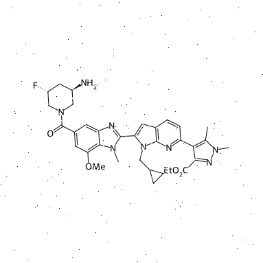 CCOC(=O)c1nn(C)c(C)c1-c1ccc2cc(-c3nc4cc(C(=O)N5C[C@H](N)C[C@@H](F)C5)cc(OC)c4n3C)n(CC3CC3)c2n1